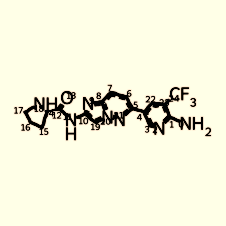 Nc1ncc(-c2ccc3nc(NC(=O)[C@H]4CCCN4)cn3n2)cc1C(F)(F)F